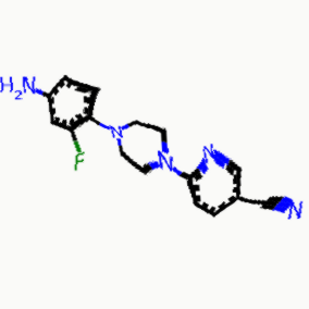 N#Cc1ccc(N2CCN(c3ccc(N)cc3F)CC2)nc1